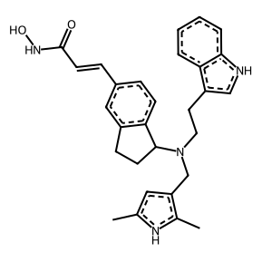 Cc1cc(CN(CCc2c[nH]c3ccccc23)C2CCc3cc(C=CC(=O)NO)ccc32)c(C)[nH]1